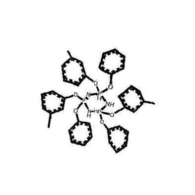 Cc1cccc(OP2(Oc3ccccc3)=N[PH](Oc3ccccc3)(Oc3cccc(C)c3)N[PH](Oc3ccccc3)(Oc3cccc(C)c3)N2)c1